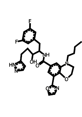 CCCCN1CCOc2c(-c3ncco3)cc(C(=O)NC(Cc3cc(F)cc(F)c3)C(O)CCc3ccn[nH]3)cc21